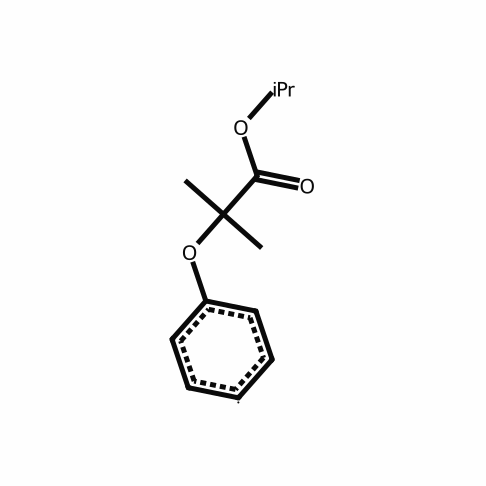 CC(C)OC(=O)C(C)(C)Oc1cc[c]cc1